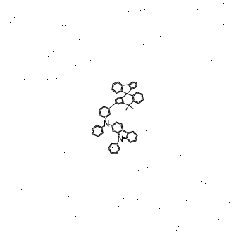 CC1(C)c2ccccc2C2(c3ccccc3-c3ccccc32)c2ccc(-c3cccc(N(c4ccccc4)c4ccc5c6ccccc6n(-c6ccccc6)c5c4)c3)cc21